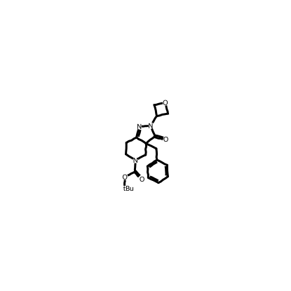 CC(C)(C)OC(=O)N1CCC2=NN(C3COC3)C(=O)C2(Cc2ccccc2)C1